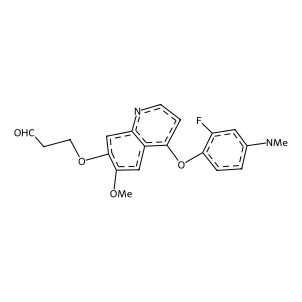 CNc1ccc(Oc2ccnc3cc(OCCC=O)c(OC)cc23)c(F)c1